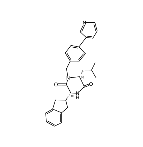 CC(C)C[C@@H]1C(=O)N[C@H](C2Cc3ccccc3C2)C(=O)N1Cc1ccc(-c2cccnc2)cc1